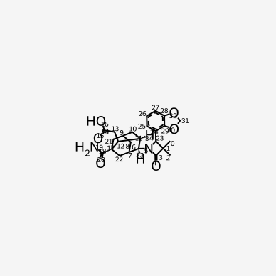 CC1(C)C(=O)N([C@@H]2C3CC4C[C@H]2C(CC(=O)O)[C@@](C(N)=O)(C4)C3)C1c1cccc2c1OCO2